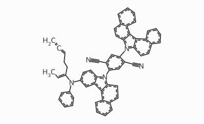 C=C=CCC/C(=C\C)N(c1ccccc1)c1ccc2c(c1)c1c3ccccc3ccc1n2-c1cc(C#N)c(-n2c3ccc4ccccc4c3c3c4ccccc4ccc32)cc1C#N